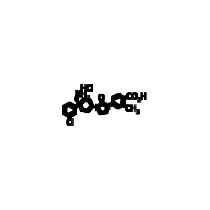 Cc1cc(N2CCN([C@H]3CC[C@@](CN)(c4cccc(Cl)c4)CC3)C2=O)ccc1C(=O)O.Cl